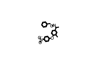 CC(=NOCc1ccccc1)c1ccc(Oc2ccc([N+](=O)[O-])cc2)c(C)c1